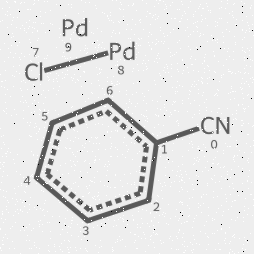 N#Cc1ccccc1.[Cl][Pd].[Pd]